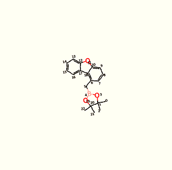 CC1(C)OB(Cc2cccc3oc4ccccc4c23)OC1(C)C